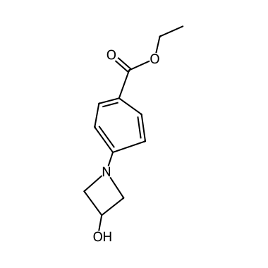 CCOC(=O)c1ccc(N2CC(O)C2)cc1